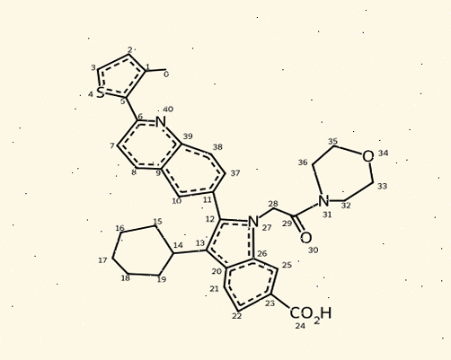 Cc1ccsc1-c1ccc2cc(-c3c(C4CCCCC4)c4ccc(C(=O)O)cc4n3CC(=O)N3CCOCC3)ccc2n1